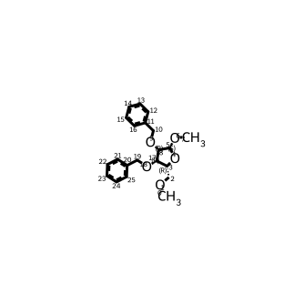 COC[C@H]1O[C@H](OC)[C@H](OCc2ccccc2)[C@@H]1OCc1ccccc1